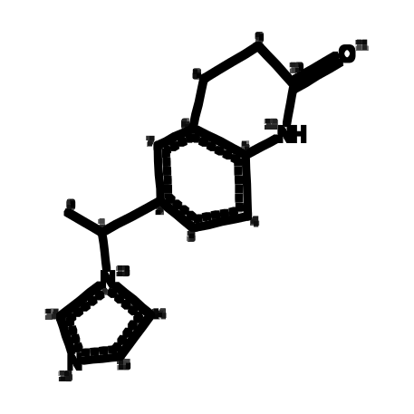 CC(c1ccc2c(c1)CCC(=O)N2)n1ccnc1